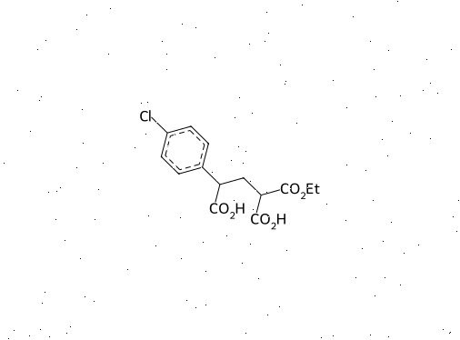 CCOC(=O)C(CC(C(=O)O)c1ccc(Cl)cc1)C(=O)O